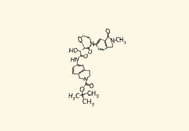 CN1Cc2ccc(N3CCOC(C(O)C(=O)Nc4ccc5c(c4)CCN(C(=O)OC(C)(C)C)C5)C3=O)cc2C1=O